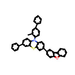 Cc1cc(-c2ccccc2)ccc1N1c2ccc(-c3ccccc3)cc2Sc2cc(-c3ccc4oc5ccccc5c4c3)ccc21